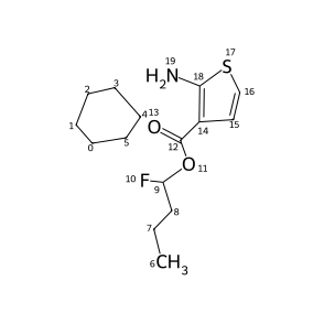 C1CCCCC1.CCCC(F)OC(=O)c1ccsc1N